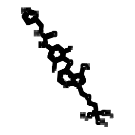 C[Si](C)(C)CCOCn1cc(C#N)c2c(Oc3c(F)cc(NC(=O)NCc4cc[nH]n4)cc3F)ccnc21